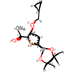 COC(=O)c1sc(B2OC(C)(C)C(C)(C)O2)cc1OCC1CC1